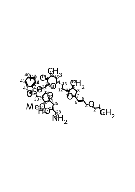 C=CCOC/C=C/C1CC(=C)C(CC[C@H]2C[C@@H](C)C(=C)C(C[C@@H]3OC(C[C@H](O)CN)[C@H](OC)[C@H]3CS(=O)(=O)c3ccccc3)O2)O1